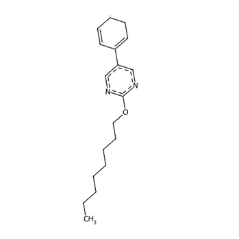 CCCCCCCCOc1ncc(C2=CC[CH]C=C2)cn1